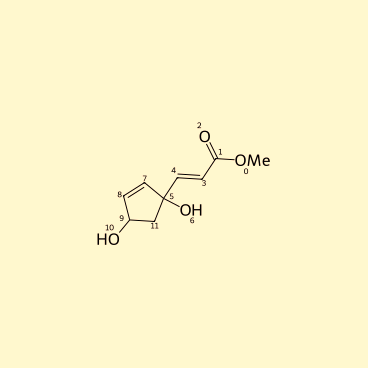 COC(=O)C=CC1(O)C=CC(O)C1